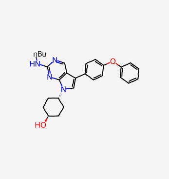 CCCCNc1ncc2c(-c3ccc(Oc4ccccc4)cc3)cn([C@H]3CC[C@H](O)CC3)c2n1